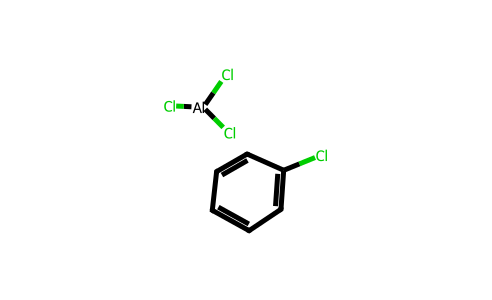 Clc1ccccc1.[Cl][Al]([Cl])[Cl]